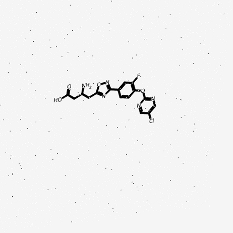 NC(CC(=O)O)Cc1nc(-c2ccc(Oc3ncc(Cl)cn3)c(F)c2)no1